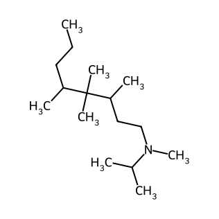 CCCC(C)C(C)(C)C(C)CCN(C)C(C)C